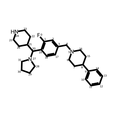 Fc1cc(CN2CCC(c3ccccc3)CC2)ccc1C(C1CCNCC1)N1CCCC1